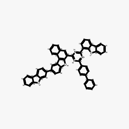 c1ccc(-c2ccc(-c3nc(-c4cccc5c4oc4ccccc45)nc(-c4cc5ccccc5c5c4oc4ccc(-c6ccc7c(c6)oc6ccccc67)cc45)n3)cc2)cc1